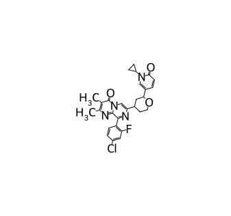 Cc1nc2c(-c3ccc(Cl)cc3F)nc(C3CCOC(c4ccc(=O)n(C5CC5)c4)C3)cn2c(=O)c1C